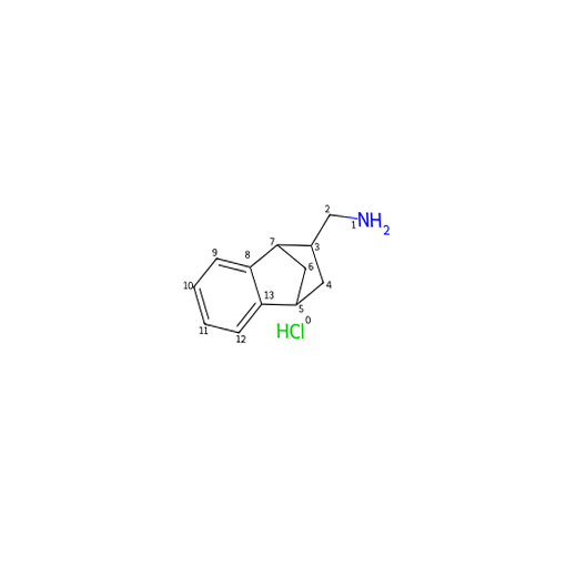 Cl.NCC1CC2CC1c1ccccc12